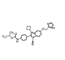 CC(C)OC(=O)Nc1ccc(-c2c(C#N)c3ccc(OCc4ncc[nH]4)cc3n2C2CCC2)cc1